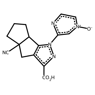 N#CC12CCCC1c1c(c(C(=O)O)nn1-c1c[n+]([O-])ccn1)C2